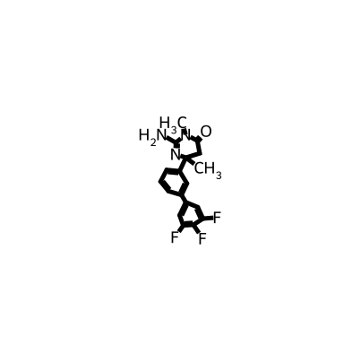 CN1C(=O)CC(C)(c2cccc(-c3cc(F)c(F)c(F)c3)c2)N=C1N